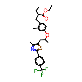 CCOC(=O)C(CC)Cc1ccc(OC(C)Cc2sc(-c3ccc(C(F)(F)F)cc3)nc2C)cc1C